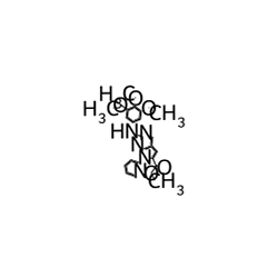 COC(=O)c1cc2cnc(Nc3cc(OC)c(OC)c(OC)c3)nc2n1-c1ccccn1